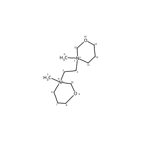 C[N+]1(CC[N+]2(C)CCCOC2)CCCOC1